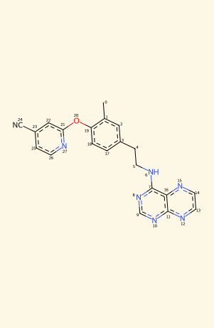 Cc1cc(CCNc2ncnc3nccnc23)ccc1Oc1cc(C#N)ccn1